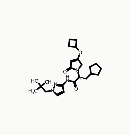 CC(C)(O)Cn1ccc(NC(=O)[C@H](CC2CCCC2)N2CC(OC3CCC3)=CC2=O)n1